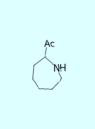 CC(=O)C1CCCCCN1